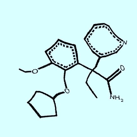 CCC(C(N)=O)(c1cccnc1)c1cccc(OC)c1OC1CCCC1